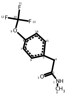 CNC(=O)[CH]c1ccc(OC(F)(F)F)cc1